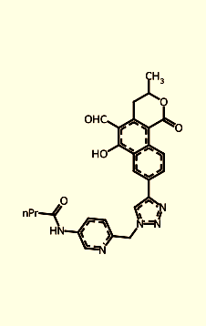 CCCC(=O)Nc1ccc(Cn2cc(-c3ccc4c5c(c(C=O)c(O)c4c3)CC(C)OC5=O)nn2)nc1